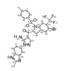 Cc1ccc(S(=O)(=O)n2c(C(=O)c3cnn(-c4ccc5[nH]c(C)nc5c4)c3N)cc3cc(Br)c(C(F)(F)F)cc32)cc1